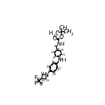 CC(C)(C)OC(=O)NCc1ccc(Nc2ccc(N3CC(C(F)(F)F)C3)cc2)cc1